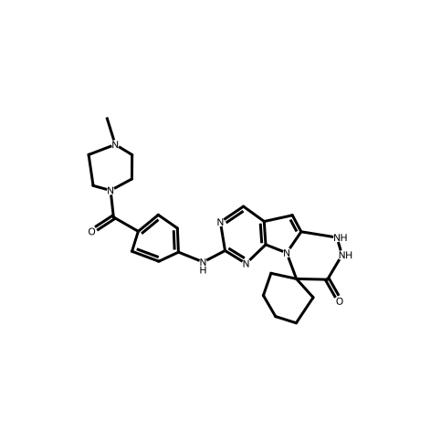 CN1CCN(C(=O)c2ccc(Nc3ncc4cc5n(c4n3)C3(CCCCC3)C(=O)NN5)cc2)CC1